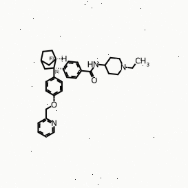 CCN1CCC(NC(=O)c2ccc([C@]3(c4ccc(OCc5ccccn5)cc4)CC4CC[C@@H]3C4)cc2)CC1